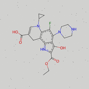 CCOC(=O)c1[nH]c2c3c(c(F)c(N4CCNCC4)c2c1O)N(C1CC1)C=C(C(=O)O)C3